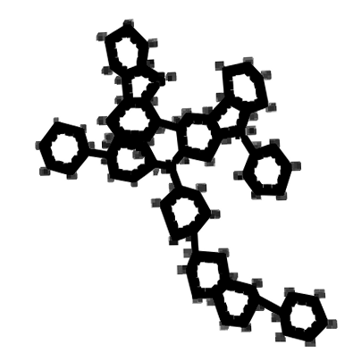 c1ccc(-c2ccc(N(c3ccc(-c4ccc5ccc(-c6ccccc6)cc5c4)cc3)c3cc4c(cc3-c3cccc5c3sc3ccccc35)c3ccccc3n4-c3ccccc3)cc2)cc1